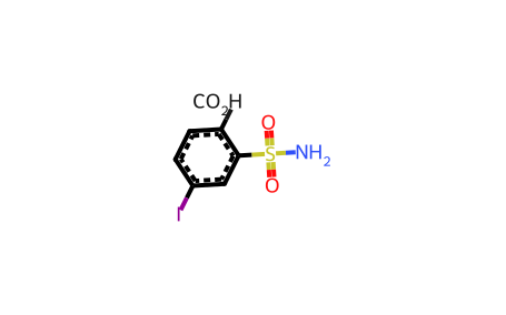 NS(=O)(=O)c1cc(I)ccc1C(=O)O